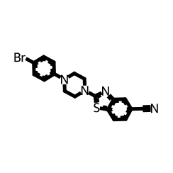 N#Cc1ccc2sc(N3CCN(c4ccc(Br)cc4)CC3)nc2c1